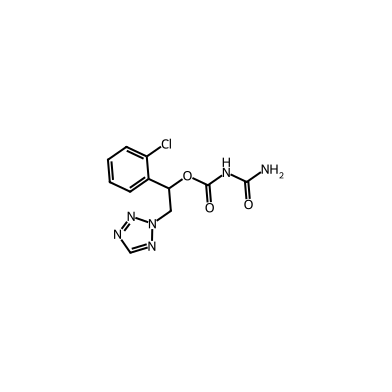 NC(=O)NC(=O)OC(Cn1ncnn1)c1ccccc1Cl